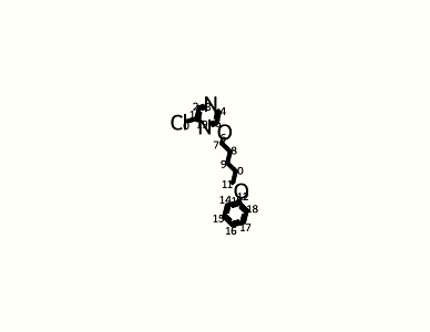 Clc1cncc(OCCCCCOc2ccccc2)n1